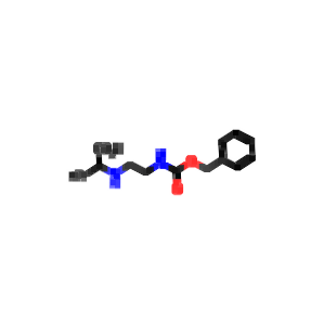 CCCC(NCCNC(=O)OCc1ccccc1)C(=O)O